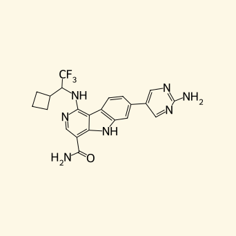 NC(=O)c1cnc(NC(C2CCC2)C(F)(F)F)c2c1[nH]c1cc(-c3cnc(N)nc3)ccc12